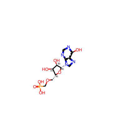 O=P(O)(O)COC[C@H]1O[C@@H](n2cnc3c(O)ncnc32)[C@H](O)[C@@H]1O